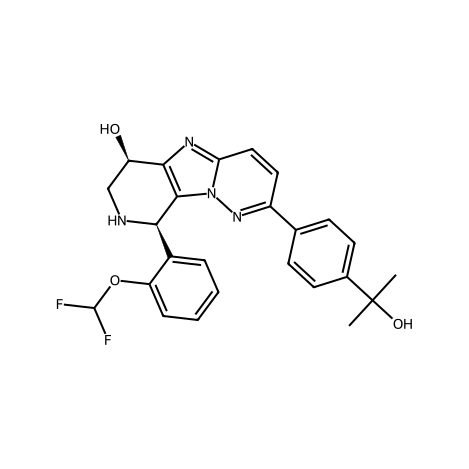 CC(C)(O)c1ccc(-c2ccc3nc4c(n3n2)[C@@H](c2ccccc2OC(F)F)NC[C@H]4O)cc1